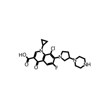 O=C(O)c1cn(C2CC2)c2c(Cl)c(N3CCC(N4CCNCC4)C3)c(F)cc2c1=O